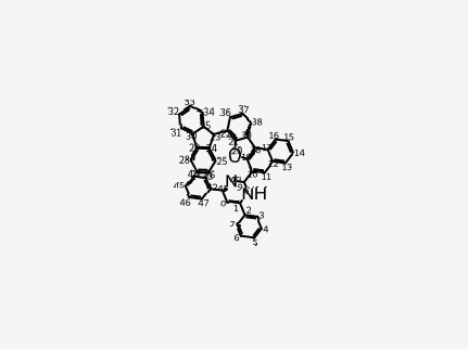 C1=C(c2ccccc2)NC(c2cc3ccccc3c3c2oc2c(C4c5ccccc5-c5ccccc54)cccc23)N=C1c1ccccc1